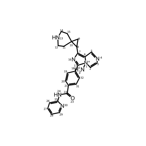 N[N+]12C=CN=CC1=C(C1CC13CCNCC3)N=C2c1ccc(C(=O)Nc2ccccn2)cc1